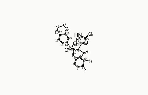 Cc1ccc(F)c(C(C)C(NS(=O)(=O)c2ccc3c(c2)OCCO3)c2n[nH]c(=O)o2)c1C